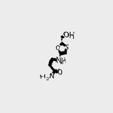 NC(=O)/C=C\N[C@H]1CS[C@@H](CO)O1